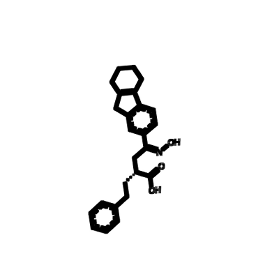 O=C(O)[C@H](CCc1ccccc1)CC(=NO)c1ccc2c(c1)CC1=C2CCCC1